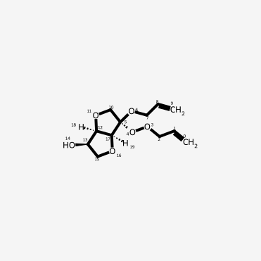 C=CCOO[C@@]1(OCC=C)CO[C@@H]2[C@H](O)CO[C@@H]21